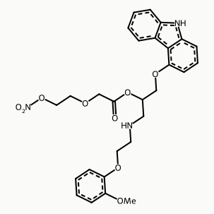 COc1ccccc1OCCNCC(COc1cccc2[nH]c3ccccc3c12)OC(=O)COCCO[N+](=O)[O-]